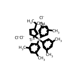 Cc1cc(C)cc([Si](c2cc(C)cc(C)c2)(c2cc(C)cc(C)c2)[C]2([Ti+3])C=CC(C(C)C)=C2)c1.[Cl-].[Cl-].[Cl-]